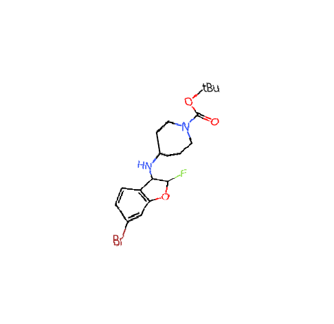 CC(C)(C)OC(=O)N1CCC(NC2c3ccc(Br)cc3OC2F)CC1